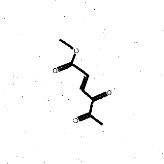 COC(=O)C=CC(=O)C(C)=O